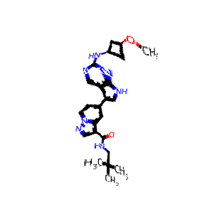 CO[C@H]1C[C@@H](Nc2ncc3c(-c4ccn5ncc(C(=O)NCC(C)(C)C)c5c4)c[nH]c3n2)C1